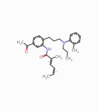 C/C=C\C=C(/C)C(=O)Nc1cc(C(C)=O)ccc1CCCN(CCC)c1ccccc1C